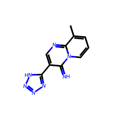 Cc1cccn2c(=N)c(-c3nnn[nH]3)cnc12